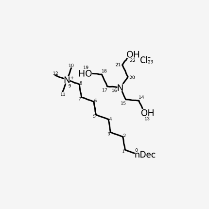 CCCCCCCCCCCCCCCCCC[N+](C)(C)C.OCCN(CCO)CCO.[Cl-]